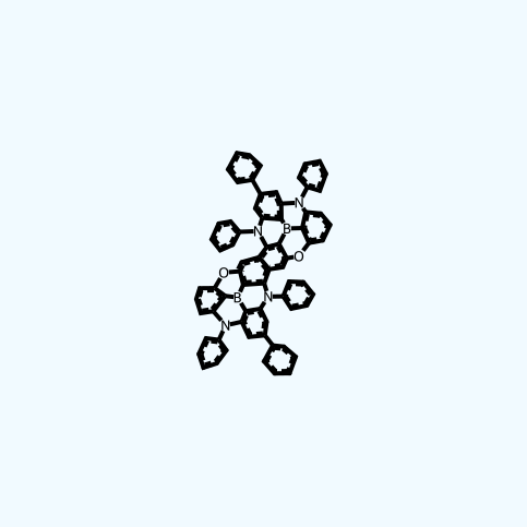 c1ccc(-c2cc3c4c(c2)N(c2ccccc2)c2c5c(cc6c7c8c(cc26)Oc2cccc6c2B8c2c(cc(-c8ccccc8)cc2N7c2ccccc2)N6c2ccccc2)Oc2cccc(c2B45)N3c2ccccc2)cc1